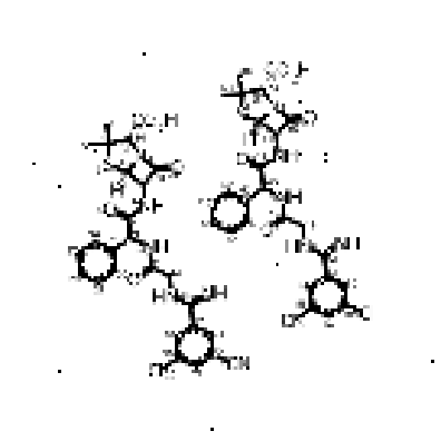 CC1(C)S[C@@H]2C(NC(=O)C(NC(=O)CNC(=N)c3cc(Cl)cc(C#N)c3)c3ccccc3)C(=O)N2[C@H]1C(=O)O.CC1(C)S[C@@H]2C(NC(=O)C(NC(=O)CNC(=N)c3cc(Cl)cc(Cl)c3)c3ccccc3)C(=O)N2[C@H]1C(=O)O